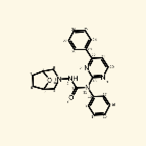 O=C(NN1CC2CCC(C1)O2)N(c1ccccc1)c1nccc(-c2ccccc2)n1